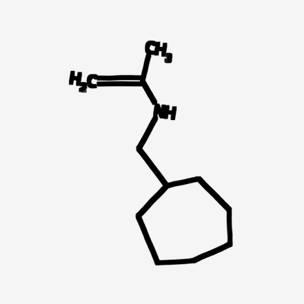 C=C(C)NCC1CCCCCC1